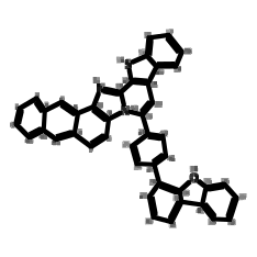 c1ccc2cc3c(ccc4c3nc3c5sc6ccccc6c5cc(-c5ccc(-c6cccc7c6oc6ccccc67)cc5)n43)cc2c1